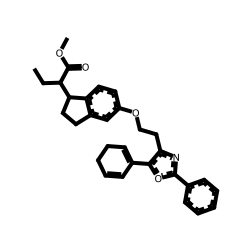 CCC(C(=O)OC)C1CCc2cc(OCCc3nc(-c4ccccc4)oc3C3=CCCC=C3)ccc21